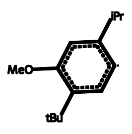 COc1cc(C(C)C)[c]cc1C(C)(C)C